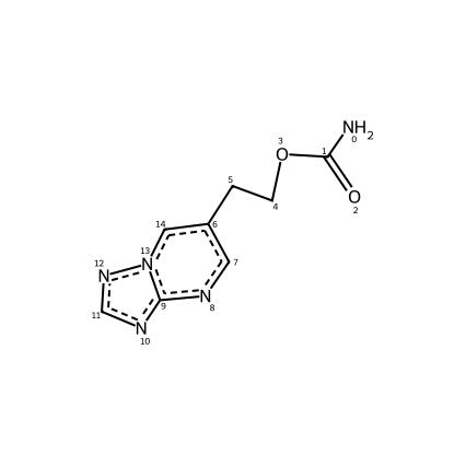 NC(=O)OCCc1cnc2ncnn2c1